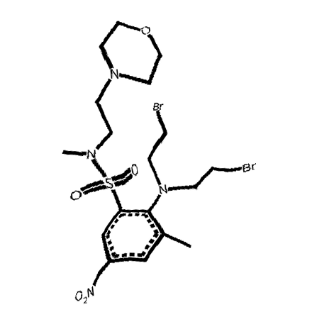 Cc1cc([N+](=O)[O-])cc(S(=O)(=O)N(C)CCN2CCOCC2)c1N(CCBr)CCBr